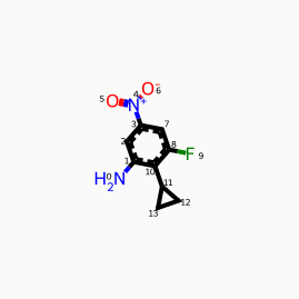 Nc1cc([N+](=O)[O-])cc(F)c1C1CC1